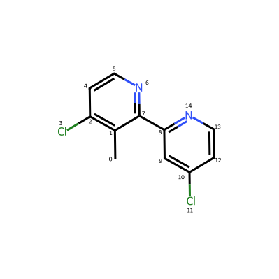 Cc1c(Cl)ccnc1-c1cc(Cl)ccn1